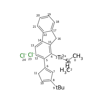 C[SiH](C)[Ti+2][c]1c(C2=CC(C(C)(C)C)=CC2)ccc2c1Cc1ccccc1-2.[Cl-].[Cl-]